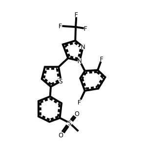 CS(=O)(=O)c1cccc(-c2ccc(-c3cc(C(F)(F)F)nn3-c3cc(F)ccc3F)s2)c1